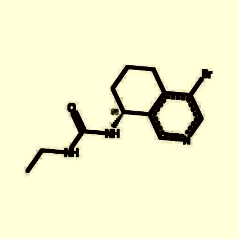 CCNC(=O)N[C@@H]1CCCc2c(Br)cncc21